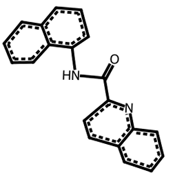 O=C(Nc1cccc2ccccc12)c1ccc2ccccc2n1